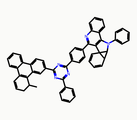 CC1CC=Cc2c1c1cc(-c3nc(-c4ccccc4)nc(-c4ccc(-c5nc6ccccc6c6c5C57C=CC=CC5C7N6c5ccccc5)cc4)n3)ccc1c1ccccc21